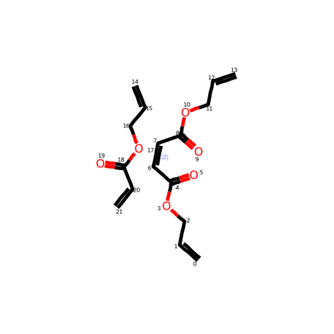 C=CCOC(=O)/C=C\C(=O)OCC=C.C=CCOC(=O)C=C